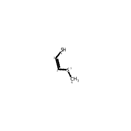 CS/C=C\S